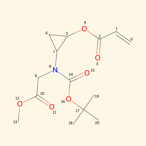 C=CC(=O)OC1CC1N(CC(=O)OC)C(=O)OC(C)(C)C